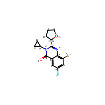 O=c1c2cc(F)cc(Br)c2nc([C@@H]2CCCO2)n1C1CC1